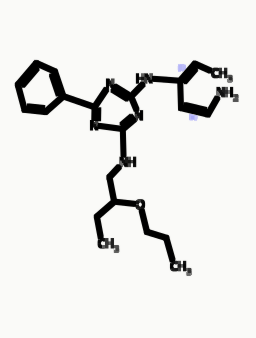 C/C=C(\C=C/N)Nc1nc(NCC(CC)OCCC)nc(-c2ccccc2)n1